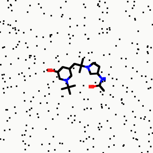 CC(O)NC1CCN(C(C)(C)CC2CC(O)CN(C(C)(C)C)C2)C1